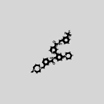 CN1CCCN(Cc2cccc(C(=O)Nc3ccc(N4CCCCC4)cc3-c3cc(C(=O)NCc4cccc(C(F)(F)F)c4)ccn3)c2)CC1